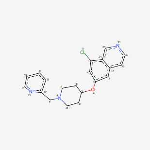 Clc1cc(OC2CCN(Cc3ccccn3)CC2)cc2ccncc12